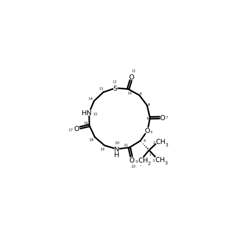 [CH2]C(C)(C)[C@H]1OC(=O)CCC(=O)SCCNC(=O)CCNC1=O